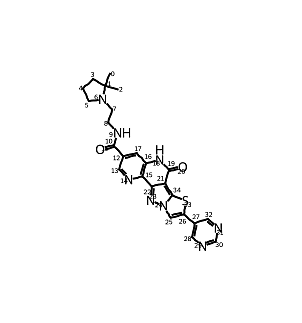 CC1(C)CCCN1CCNC(=O)c1cnc2c(c1)[nH]c(=O)c1c2nn2cc(-c3cncnc3)sc12